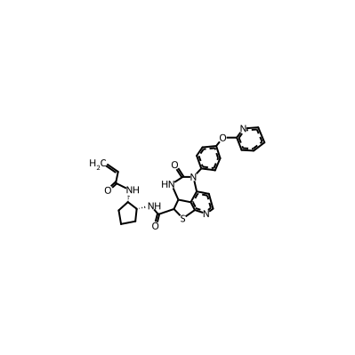 C=CC(=O)N[C@H]1CCC[C@H]1NC(=O)C1Sc2nccc3c2C1NC(=O)N3c1ccc(Oc2ccccn2)cc1